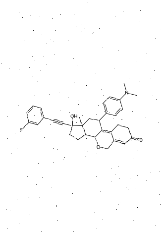 CN(C)c1ccc(C2CC3(C)C(CCC3(O)C#Cc3cccc(F)c3)C3OCC4=CC(=O)CCC4=C23)cc1